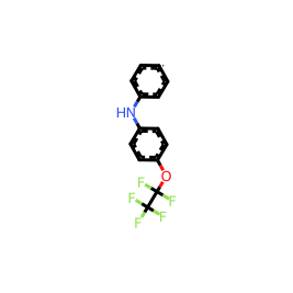 FC(F)(F)C(F)(F)Oc1ccc(Nc2cc[c]cc2)cc1